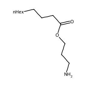 CCCCCCCCCC(=O)OCCCN